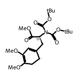 COC(=O)[C@H](CC1=CC(OC)=C(OC)C[CH]1)N(C(=O)OC(C)(C)C)C(=O)OC(C)(C)C